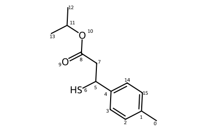 Cc1ccc(C(S)CC(=O)OC(C)C)cc1